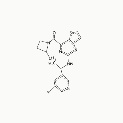 CC(Nc1nc(C(=O)N2CCC2C)c2sccc2n1)c1cncc(F)c1